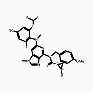 COc1ccc(CN(C(=O)[C@H]2C[C@H]2F)c2nc(N(C)c3c(F)cc(C#N)cc3OC(F)F)cc3c2ncn3C)cc1